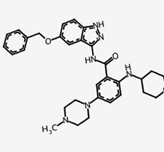 CN1CCN(c2ccc(NC3CCOCC3)c(C(=O)Nc3n[nH]c4ccc(OCc5ccccc5)cc34)c2)CC1